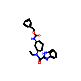 CCN(C(=O)c1nc2ccccc2[nH]1)[C@H]1CCC[C@@H](NC(=O)OCc2ccccc2)C1